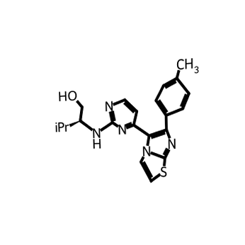 Cc1ccc(-c2nc3sccn3c2-c2ccnc(N[C@H](CO)C(C)C)n2)cc1